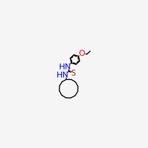 CCOc1ccc(NC(=S)NC2CCCCCCCCCCC2)cc1